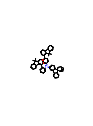 CC1(C)c2ccccc2-c2c(-c3ccccc3N(c3ccc(-c4cccc5c4C(C)(C)c4ccccc4-5)cc3)c3ccc4c(c3)-c3ccccc3C43CC4CCC3C4)cccc21